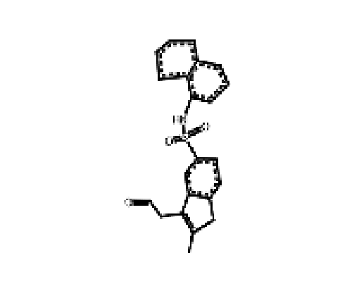 CC1=C(CC=O)c2cc(S(=O)(=O)Nc3cccc4ccccc34)ccc2C1